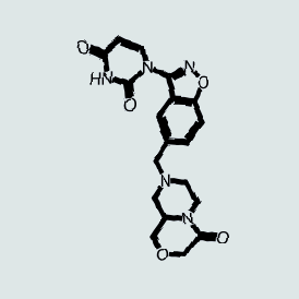 O=C1COCC2CN(Cc3ccc4onc(-n5ccc(=O)[nH]c5=O)c4c3)CCN12